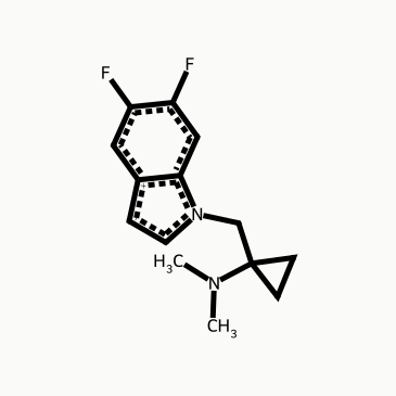 CN(C)C1(Cn2ccc3cc(F)c(F)cc32)CC1